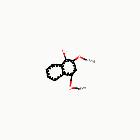 CCCCCCOc1cc(OCCCCC)c(O)c2ccccc12